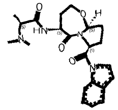 C[C@@H](C(=O)N[C@H]1CCO[C@H]2CC[C@@H](C(=O)n3ccc4ccccc43)N2C1=O)N(C)C